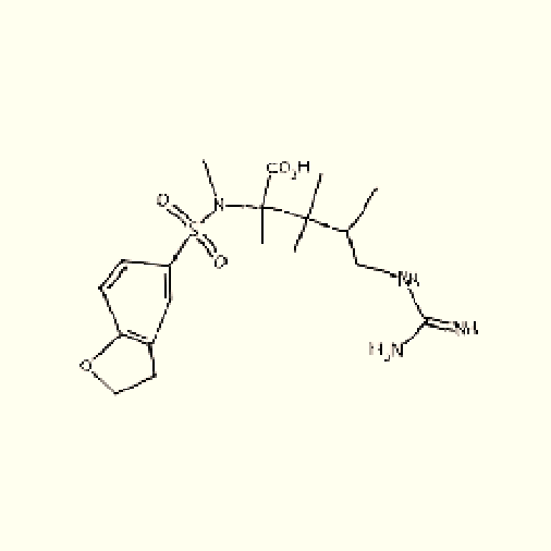 CC(CNC(=N)N)C(C)(C)C(C)(C(=O)O)N(C)S(=O)(=O)c1ccc2c(c1)CCO2